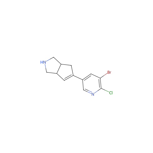 Clc1ncc(C2=CC3CNCC3C2)cc1Br